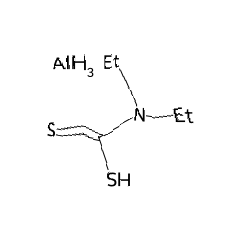 CCN(CC)C(=S)S.[AlH3]